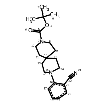 CC(C)(C)OC(=O)N1CCC2(CC1)CCN(c1ccccc1C#N)CC2